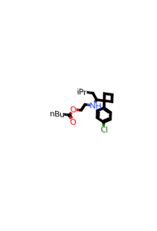 CCCCC(=O)OCCNC(CC(C)C)C1(c2ccc(Cl)cc2)CCC1